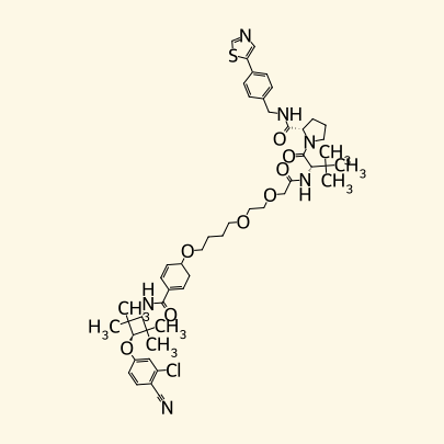 CC(C)(C)[C@H](NC(=O)COCCOCCCCOC1C=CC(C(=O)N[C@H]2C(C)(C)[C@H](Oc3ccc(C#N)c(Cl)c3)C2(C)C)=CC1)C(=O)N1CCC[C@H]1C(=O)NCc1ccc(-c2cncs2)cc1